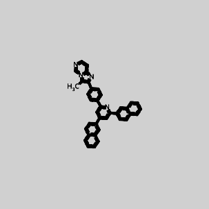 Cc1c(-c2ccc(-c3cc(-c4ccc5ccccc5c4)cc(-c4ccc5ccccc5c4)n3)cc2)nc2ccncn12